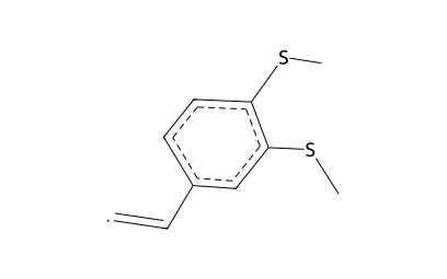 [CH]=Cc1ccc(SC)c(SC)c1